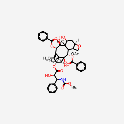 CC(=O)O[C@@]12CO[C@@H]1C[C@H](O)[C@@]1(C)C(=O)[C@H](OC(=O)c3ccccc3)C3=C(C)[C@@H](OC(=O)[C@H](O)[C@@H](NC(=O)OC(C)(C)C)c4ccccc4)C[C@@](O)([C@@H](OC(=O)c4ccccc4)C12)C3(C)C